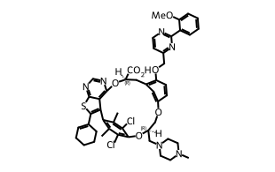 COc1ccccc1-c1nccc(COc2ccc3cc2C[C@H](C(=O)O)Oc2ncnc4sc(C5=CCCCC5)c(c24)-c2c(C)c(Cl)c(c(Cl)c2C)O[C@H](CN2CCN(C)CC2)CO3)n1